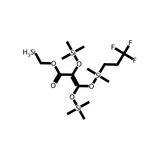 C[Si](C)(C)OC(O[Si](C)(C)CCC(F)(F)F)=C(O[Si](C)(C)C)C(=O)OC[SiH3]